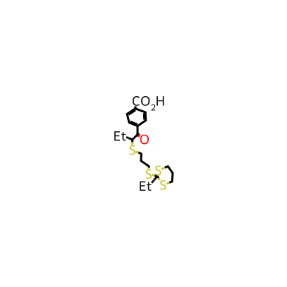 CCC(SCCCSC1(CC)SCCCS1)C(=O)c1ccc(C(=O)O)cc1